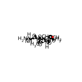 CN(CC(=O)N[C@H](C=O)CCCNC(=N)N)C(=O)[C@H](CCS(C)(=O)=O)NS(=O)(=O)C[C@]12CCC(CC1=O)C2(C)C